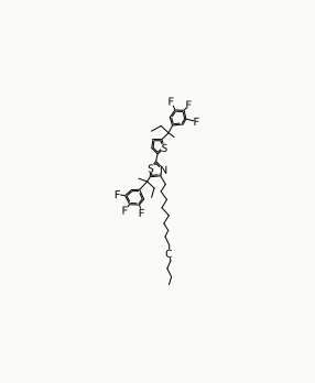 CCCCCCCCCCCCCCc1nc(-c2ccc(C(C)(CC)c3cc(F)c(F)c(F)c3)s2)sc1C(C)(CC)c1cc(F)c(F)c(F)c1